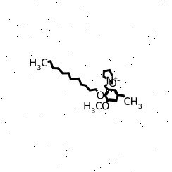 CCCCCCCCCCCCOc1c(C[N+]2([O-])CCCC2)cc(CC)cc1OC